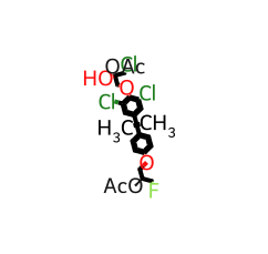 CC(=O)O[C@H](CF)COc1ccc(C(C)(C)c2cc(Cl)c(OCC(O)(CCl)OC(C)=O)c(Cl)c2)cc1